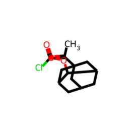 CC(=O)C12CC3CC(C1)C(OC(=O)Cl)C(C3)C2